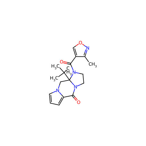 Cc1nocc1C(=O)N1CCN2C(=O)c3cccn3CC12C(C)(C)C